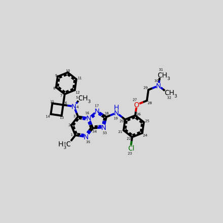 Cc1cc(N(C)C2(c3ccccc3)CCC2)n2nc(Nc3cc(Cl)ccc3OCCN(C)C)nc2n1